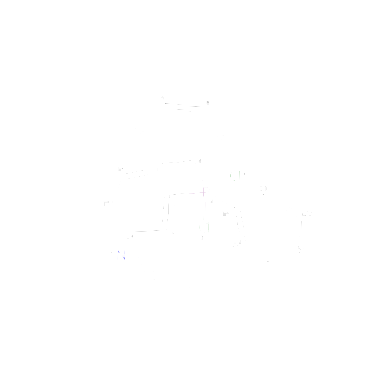 CC#N.ClP(Cl)(c1ccccc1)(c1ccccc1)c1ccccc1